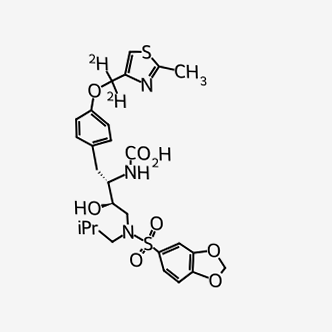 [2H]C([2H])(Oc1ccc(C[C@H](NC(=O)O)[C@H](O)CN(CC(C)C)S(=O)(=O)c2ccc3c(c2)OCO3)cc1)c1csc(C)n1